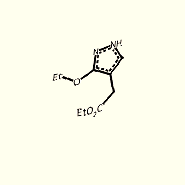 CCOC(=O)Cc1c[nH]nc1OCC